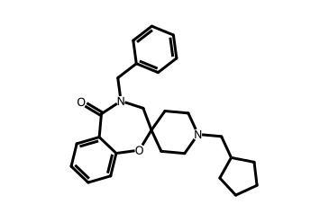 O=C1c2ccccc2OC2(CCN(CC3CCCC3)CC2)CN1Cc1ccccc1